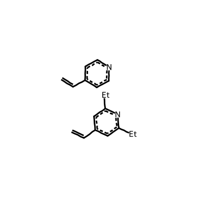 C=Cc1cc(CC)nc(CC)c1.C=Cc1ccncc1